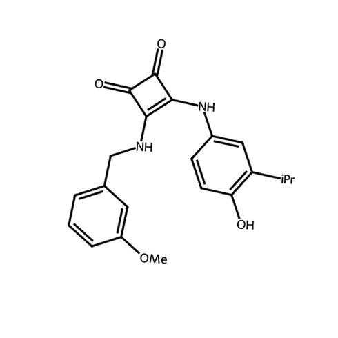 COc1cccc(CNc2c(Nc3ccc(O)c(C(C)C)c3)c(=O)c2=O)c1